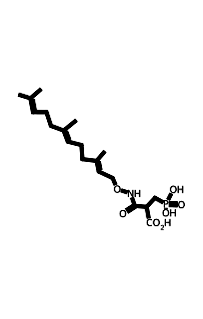 CC(C)=CCC/C(C)=C/CC/C(C)=C/CONC(=O)C(CP(=O)(O)O)C(=O)O